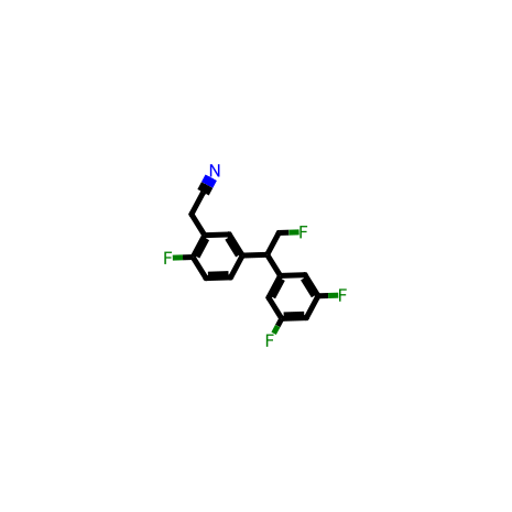 N#CCc1cc(C(CF)c2cc(F)cc(F)c2)ccc1F